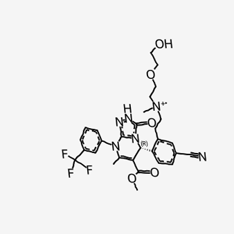 COC(=O)C1=C(C)N(c2cccc(C(F)(F)F)c2)c2n[nH]c(=O)n2[C@@H]1c1ccc(C#N)cc1CC[N+](C)(C)CCOCCO